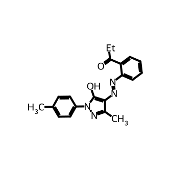 CCC(=O)c1ccccc1/N=N/c1c(C)nn(-c2ccc(C)cc2)c1O